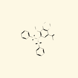 COc1c(C(C)=O)cc(N(S(=O)(=O)c2ccccc2)S(=O)(=O)c2ccccc2)c(OC)c1OC